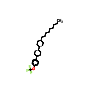 CCCCCCCCC[C@H]1CC[C@H]([C@H]2CC[C@H](c3ccc(OC(F)(F)F)cc3)CC2)CC1